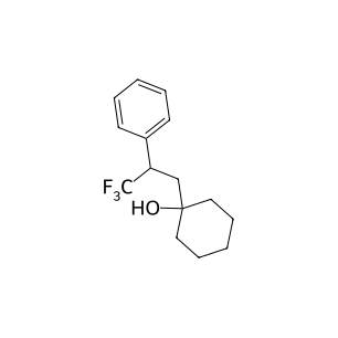 OC1(CC(c2ccccc2)C(F)(F)F)CCCCC1